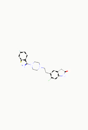 O=C1Cc2cc(CCN3CCN(c4nsc5cc(F)ccc45)CC3)c(Cl)cc2N1